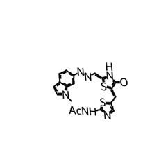 CC(=O)Nc1ncc(/C=c2\sc(=CN=Nc3ccc4ccn(C)c4c3)[nH]c2=O)s1